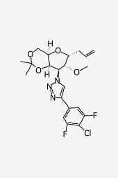 C=CC[C@H]1O[C@@H]2COC(C)(C)O[C@@H]2[C@H](n2cc(-c3cc(F)c(Cl)c(F)c3)nn2)[C@H]1OC